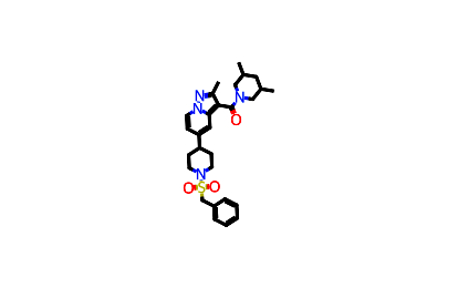 Cc1nn2ccc(C3CCN(S(=O)(=O)Cc4ccccc4)CC3)cc2c1C(=O)N1CC(C)CC(C)C1